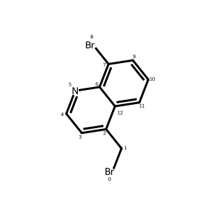 BrCc1ccnc2c(Br)cccc12